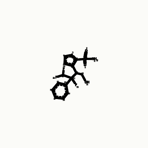 NS(=O)(=O)c1sccc1C(CO)C(F)(c1ccccc1)C(F)F